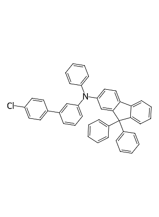 Clc1ccc(-c2cccc(N(c3ccccc3)c3ccc4c(c3)C(c3ccccc3)(c3ccccc3)c3ccccc3-4)c2)cc1